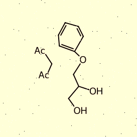 CC(=O)CC(C)=O.OCC(O)COc1ccccc1